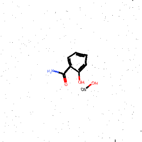 NC(=O)c1ccccc1O.O=NO